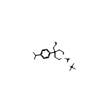 CC(C)c1ccc(C2(CC=O)CCN(C(=O)OC(C)(C)C)CC2)cc1